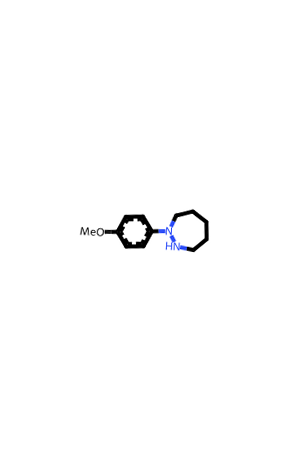 COc1ccc(N2CCCCCN2)cc1